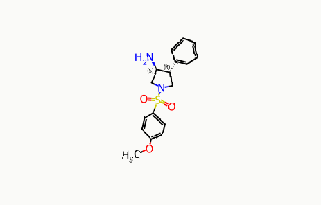 COc1ccc(S(=O)(=O)N2C[C@@H](N)[C@H](c3ccccc3)C2)cc1